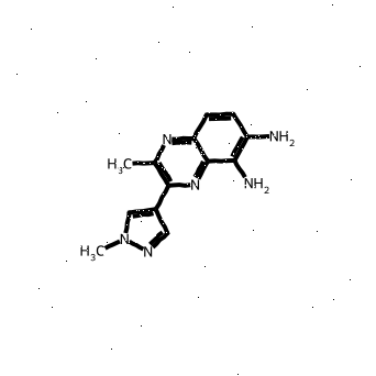 Cc1nc2ccc(N)c(N)c2nc1-c1cnn(C)c1